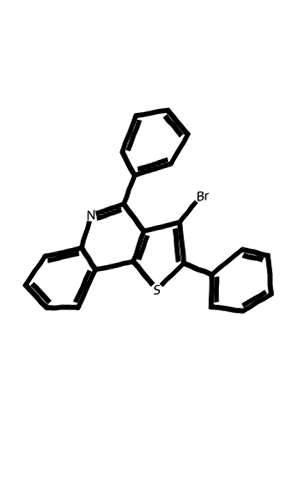 Brc1c(-c2ccccc2)sc2c1c(-c1ccccc1)nc1ccccc12